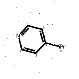 C[C](C)c1ccncc1